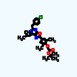 Cc1cc(-c2nc3c(CC(C)C)nc(Cc4ccc(Cl)cc4)nc3o2)cc(C)c1OCC(=O)OC(C)(C)C